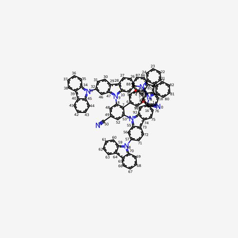 N#Cc1cccc(-c2c(-n3c4cc(-n5c6ccccc6c6ccccc65)ccc4c4ccc(-n5c6ccccc6c6ccccc65)cc43)cc(C#N)cc2-n2c3cc(-n4c5ccccc5c5ccccc54)ccc3c3ccc(-n4c5ccccc5c5ccccc54)cc32)c1